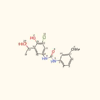 COc1cccc(NC(=O)Nc2cc(Cl)c(O)c(C(C)O)c2)c1